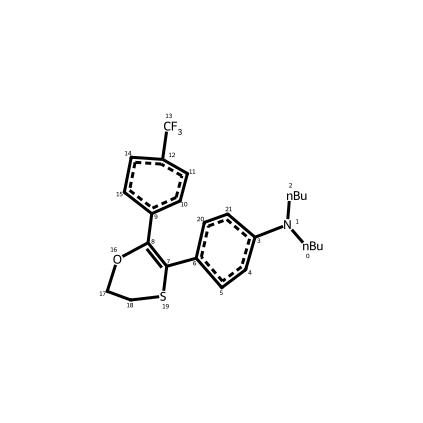 CCCCN(CCCC)c1ccc(C2=C(c3ccc(C(F)(F)F)cc3)OCCS2)cc1